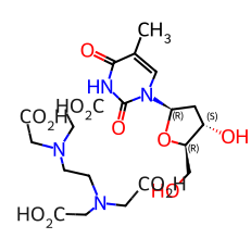 Cc1cn([C@H]2C[C@H](O)[C@@H](CO)O2)c(=O)[nH]c1=O.O=C(O)CN(CCN(CC(=O)O)CC(=O)O)CC(=O)O